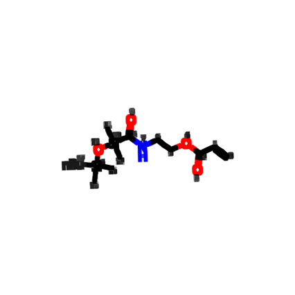 C=CC(=O)OCCNC(=O)[Si](C)(C)O[Si](C)(C)CCCC